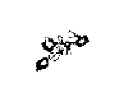 O=C1NC2(CC(c3ccccc3Cl)C2)C(=O)N1c1cnccc1Oc1ccccc1